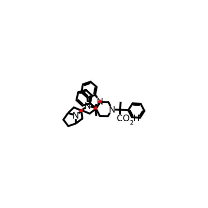 Cc1nc2ccccc2n1C1CC2CCC(C1)N2CCC1(c2ccccc2)CCN(C(C)(C(=O)O)c2ccccc2)CC1